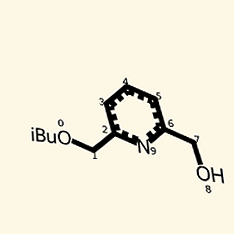 CC(C)COCc1cccc(CO)n1